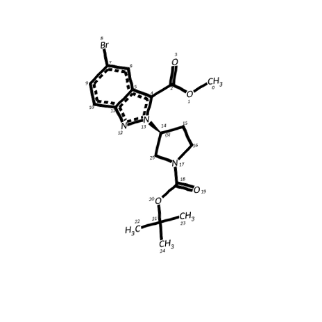 COC(=O)c1c2cc(Br)ccc2nn1[C@H]1CCN(C(=O)OC(C)(C)C)C1